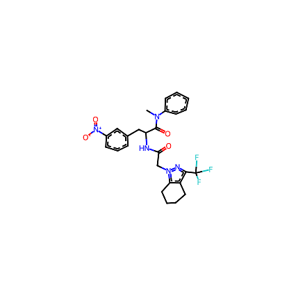 CN(C(=O)C(Cc1cccc([N+](=O)[O-])c1)NC(=O)Cn1nc(C(F)(F)F)c2c1CCCC2)c1ccccc1